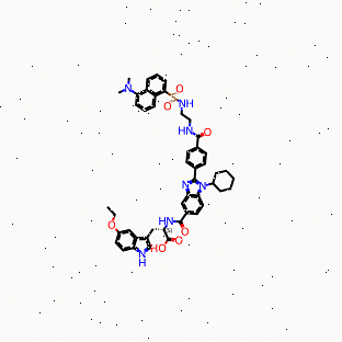 CCOc1ccc2[nH]cc(C[C@H](NC(=O)c3ccc4c(c3)nc(-c3ccc(C(=O)NCCNS(=O)(=O)c5cccc6c(N(C)C)cccc56)cc3)n4C3CCCCC3)C(=O)O)c2c1